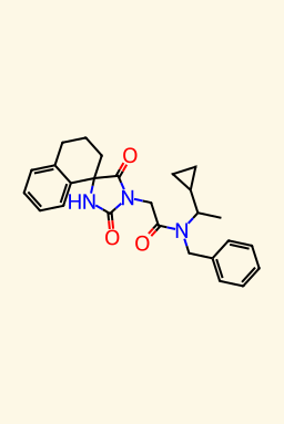 CC(C1CC1)N(Cc1ccccc1)C(=O)CN1C(=O)NC2(CCCc3ccccc32)C1=O